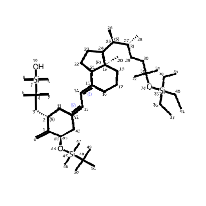 C=C1[C@H](CC(C)(C)[Si](C)(C)O)C/C(=C\C=C2/CCC[C@@]3(C)C2CCC3[C@@H](C)[C@H](C)CCC(C)(C)O[Si](CC)(CC)CC)C[C@H]1O[Si](C)(C)C(C)(C)C